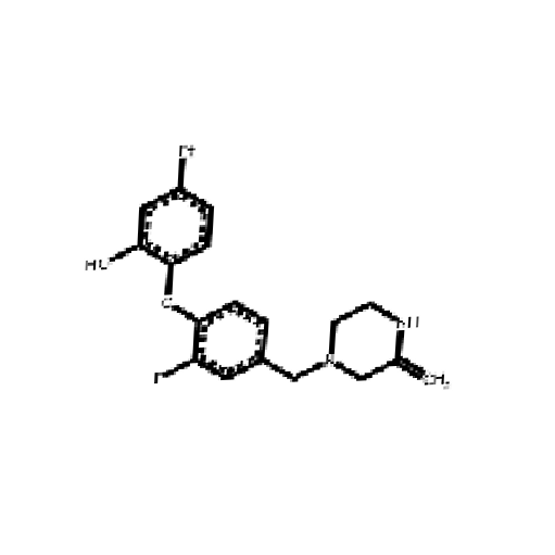 C=C1CN(Cc2ccc(Oc3ccc(CC)cc3O)c(F)c2)CCN1